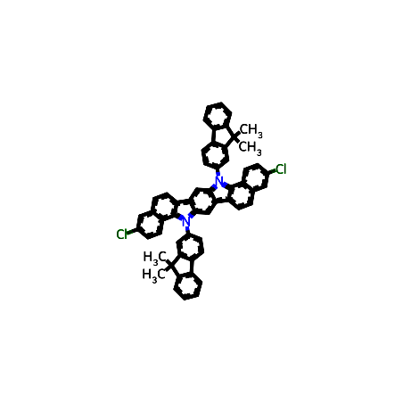 CC1(C)c2ccccc2-c2ccc(-n3c4cc5c6ccc7cc(Cl)ccc7c6n(-c6ccc7c(c6)C(C)(C)c6ccccc6-7)c5cc4c4ccc5cc(Cl)ccc5c43)cc21